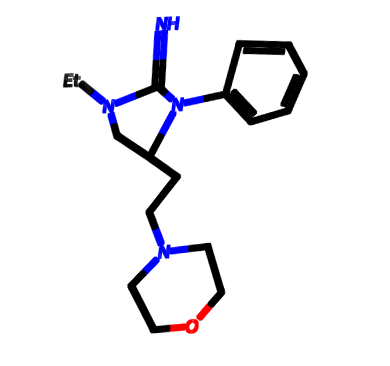 CCN1CC(CCN2CCOCC2)N(c2ccccc2)C1=N